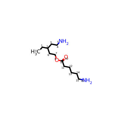 CCC(CCN)CCOC(=O)CCCCCN